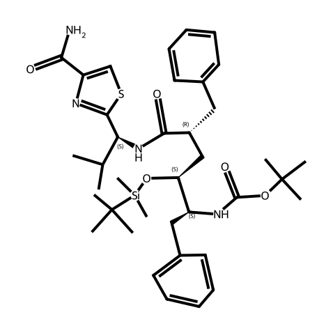 CC(C)[C@H](NC(=O)[C@H](Cc1ccccc1)C[C@H](O[Si](C)(C)C(C)(C)C)[C@H](Cc1ccccc1)NC(=O)OC(C)(C)C)c1nc(C(N)=O)cs1